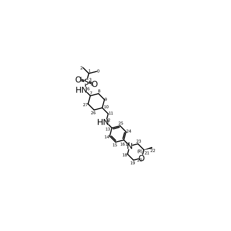 CC(C)S(=O)(=O)NC1CCC(CNc2ccc(N3CCO[C@H](C)C3)cc2)CC1